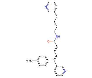 COc1ccc(/C(=C\C=C\C(=O)NCCCCc2cccnc2)c2cccnc2)cc1